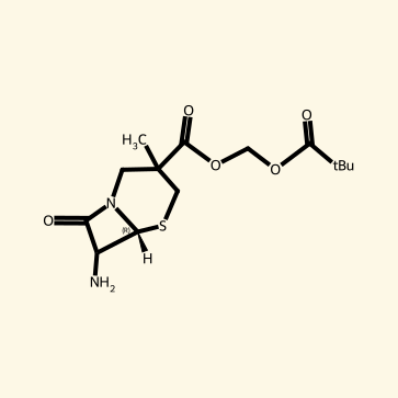 CC(C)(C)C(=O)OCOC(=O)C1(C)CS[C@@H]2C(N)C(=O)N2C1